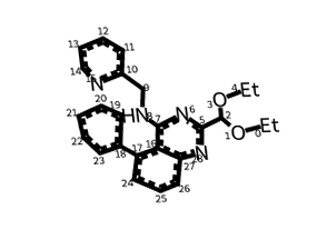 CCOC(OCC)c1nc(NCc2ccccn2)c2c(-c3ccccc3)cccc2n1